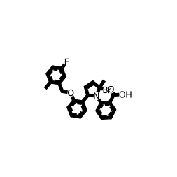 Cc1ccc(F)cc1COc1ccccc1C1C=CC(C)(Br)N1c1ccccc1C(=O)O